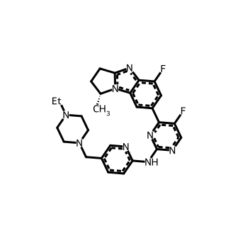 CCN1CCN(Cc2ccc(Nc3ncc(F)c(-c4cc(F)c5nc6n(c5c4)[C@H](C)CC6)n3)nc2)CC1